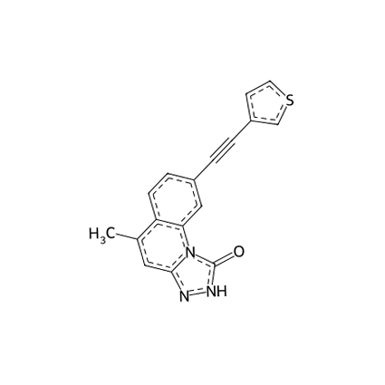 Cc1cc2n[nH]c(=O)n2c2cc(C#Cc3ccsc3)ccc12